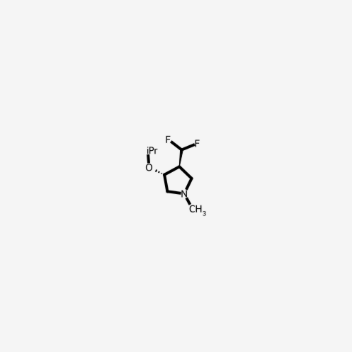 CC(C)O[C@H]1CN(C)C[C@@H]1C(F)F